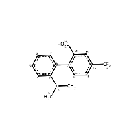 CN(C)c1ccccc1-c1ccc(C(F)(F)F)cc1C(=O)O